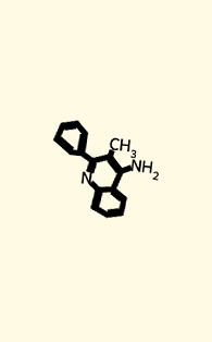 Cc1c(-c2ccccc2)nc2ccccc2c1N